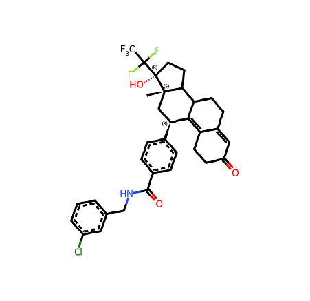 C[C@]12C[C@H](c3ccc(C(=O)NCc4cccc(Cl)c4)cc3)C3=C4CCC(=O)C=C4CCC3C1CC[C@]2(O)C(F)(F)C(F)(F)F